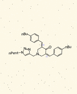 CCCCCn1cc(CN2C/C(=C/c3ccc(CCCC)cc3)C(=O)/C(=C/c3ccc(CCCC)cc3)C2)nn1